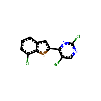 Clc1ncc(Br)c(-c2cc3cccc(Cl)c3s2)n1